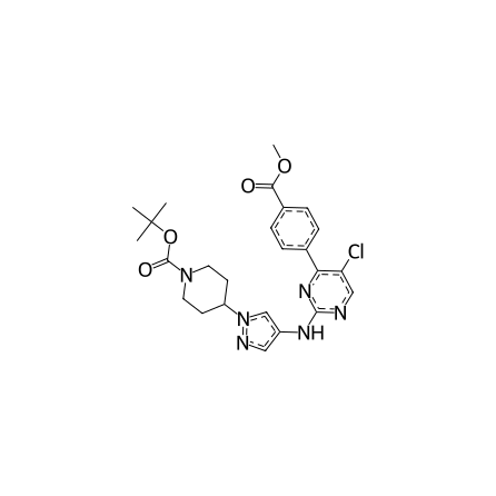 COC(=O)c1ccc(-c2nc(Nc3cnn(C4CCN(C(=O)OC(C)(C)C)CC4)c3)ncc2Cl)cc1